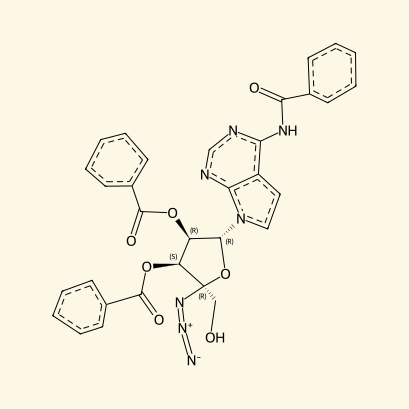 [N-]=[N+]=N[C@]1(CO)O[C@@H](n2ccc3c(NC(=O)c4ccccc4)ncnc32)[C@H](OC(=O)c2ccccc2)[C@@H]1OC(=O)c1ccccc1